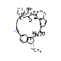 CC[C@H]1C[C@@H]2NC(=O)c3ccc4c(c3)[C@@H](CCO4)N3C(=N)N[C@](CC)(CC/C=C\c4ccc1c2c4)CC3=O